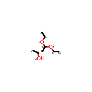 CCO.CCOC(C)OCC